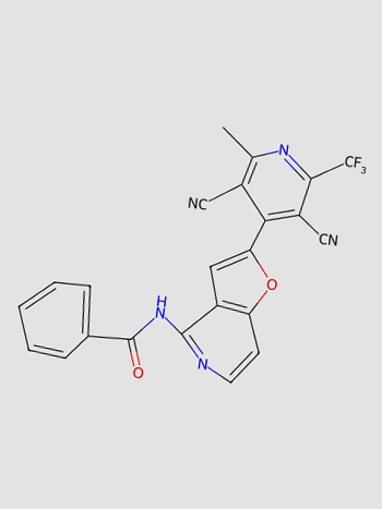 Cc1nc(C(F)(F)F)c(C#N)c(-c2cc3c(NC(=O)c4ccccc4)nccc3o2)c1C#N